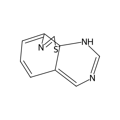 C1=CC2=CN=CNC23SC=NC3=C1